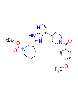 CC(C)(C)OC(=O)N1CCCC[C@@H](c2nc3c(C4CCN(C(=O)c5ccc(OC(F)(F)F)cc5)CC4)ccnc3[nH]2)C1